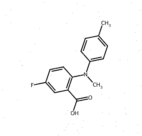 Cc1ccc(N(C)c2ccc(F)cc2C(=O)O)cc1